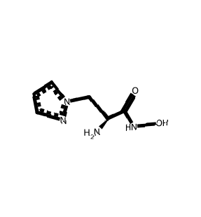 N[C@@H](Cn1cccn1)C(=O)NO